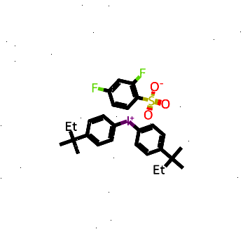 CCC(C)(C)c1ccc([I+]c2ccc(C(C)(C)CC)cc2)cc1.O=S(=O)([O-])c1ccc(F)cc1F